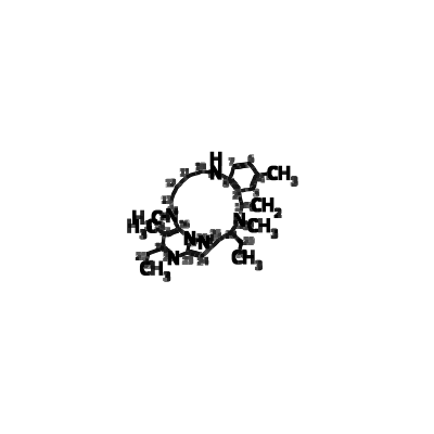 C=C1c2cc(C)ccc2NCCCCN(C)c2c(C)c(CC)nc3cc(nn23)[C@H](CC)N1C